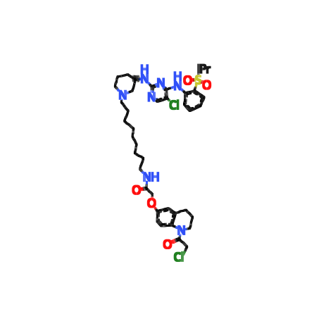 CC(C)S(=O)(=O)c1ccccc1Nc1nc(N[C@@H]2CCCN(CCCCCCCCCNC(=O)COc3ccc4c(c3)CCCN4C(=O)CCl)C2)ncc1Cl